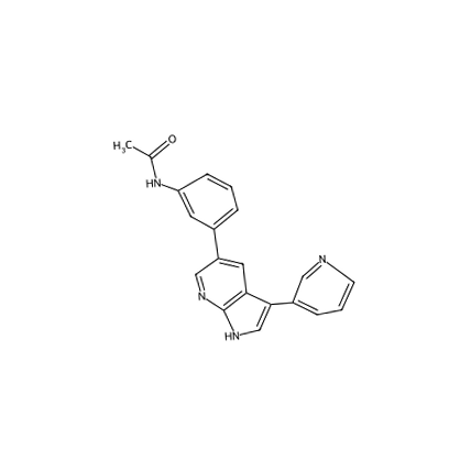 CC(=O)Nc1cccc(-c2cnc3[nH]cc(-c4cccnc4)c3c2)c1